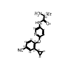 CC[C@@H](N)C(=O)Nc1ccc(Oc2ccc(C#N)cc2C2CC2)nc1